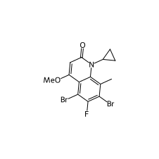 COc1cc(=O)n(C2CC2)c2c(C)c(Br)c(F)c(Br)c12